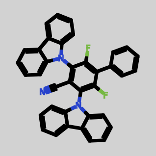 N#Cc1c(-n2c3ccccc3c3ccccc32)c(F)c(-c2ccccc2)c(F)c1-n1c2ccccc2c2ccccc21